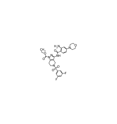 CCOC(=O)n1nc(NC(=O)c2ccc(N3CCOCC3)cc2N)c2c1CCN(S(=O)(=O)c1cc(F)cc(F)c1)C2